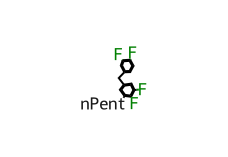 CCCCCc1cc(Cc2ccc(F)c(F)c2)cc(F)c1F